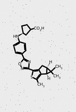 Cc1sc(-c2noc(-c3ccc(N[C@H]4CCC(C(=O)O)C4)cc3)n2)c2c1[C@H]1[C@@H](C2)C1(C)C